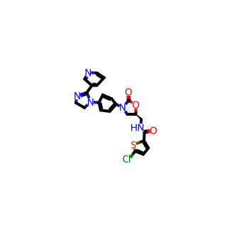 O=C(NC[C@H]1CN(c2ccc(N3CCN=C3c3cccnc3)cc2)C(=O)O1)c1ccc(Cl)s1